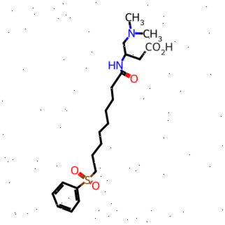 CN(C)CC(CC(=O)O)NC(=O)CCCCCCCCS(=O)(=O)c1ccccc1